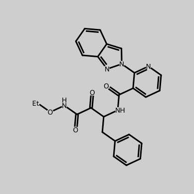 CCONC(=O)C(=O)C(Cc1ccccc1)NC(=O)c1cccnc1-n1cc2ccccc2n1